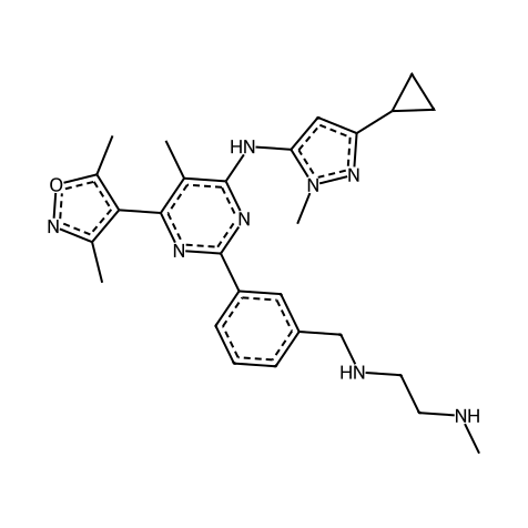 CNCCNCc1cccc(-c2nc(Nc3cc(C4CC4)nn3C)c(C)c(-c3c(C)noc3C)n2)c1